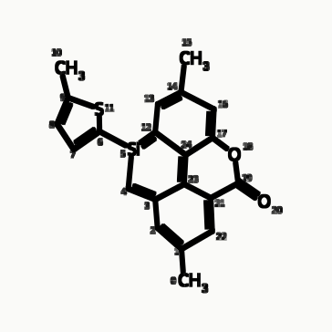 Cc1cc2c[si](-c3ccc(C)s3)c3cc(C)cc4oc(=O)c(c1)c2c43